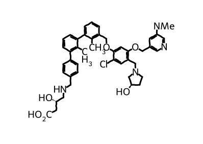 CNc1cncc(COc2cc(OCc3cccc(-c4cccc(-c5ccc(CNC[C@@H](O)CC(=O)O)cc5)c4C)c3C)c(Cl)cc2CN2CC[C@@H](O)C2)c1